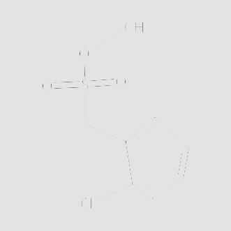 COS(=O)(=O)Cc1ccccc1Cl